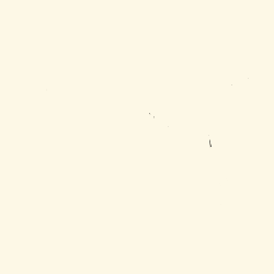 CCO/C(C)=C\Cc1cc(NC(=O)[C@@H]2S[C@@](C)(C(F)(F)F)C[C@H]2c2ccc(F)c(F)c2OC)ccc1F